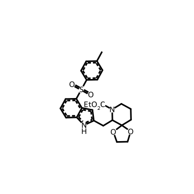 CCOC(=O)N1CCCC2(OCCO2)C1Cc1cc2c(S(=O)(=O)c3ccc(C)cc3)cccc2[nH]1